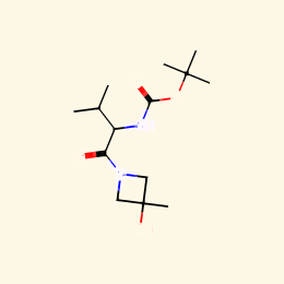 CC(C)C(NC(=O)OC(C)(C)C)C(=O)N1CC(C)(O)C1